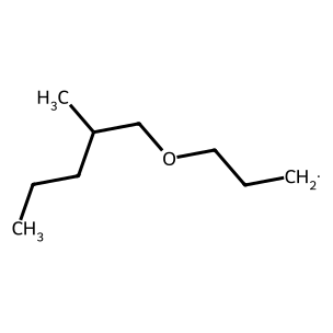 [CH2]CCOCC(C)CCC